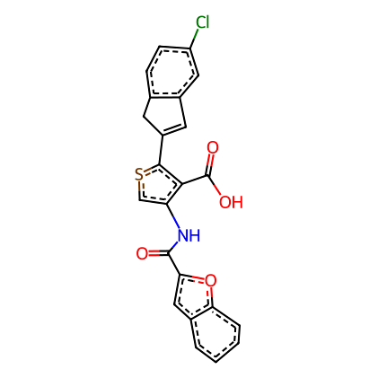 O=C(Nc1csc(C2=Cc3cc(Cl)ccc3C2)c1C(=O)O)c1cc2ccccc2o1